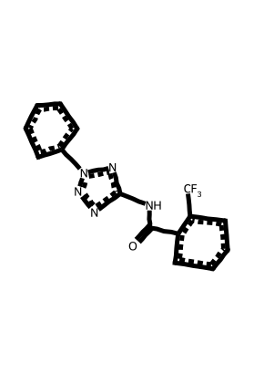 O=C(Nc1nnn(-c2ccccc2)n1)c1ccccc1C(F)(F)F